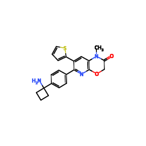 CN1C(=O)COc2nc(-c3ccc(C4(N)CCC4)cc3)c(-c3cccs3)cc21